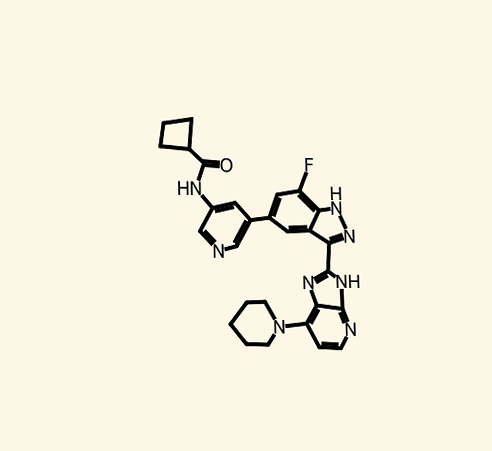 O=C(Nc1cncc(-c2cc(F)c3[nH]nc(-c4nc5c(N6CCCCC6)ccnc5[nH]4)c3c2)c1)C1CCC1